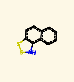 c1ccc2c3c(ccc2c1)SSN3